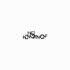 CN1CCN(c2ccc(CNc3ccc(F)cc3)cn2)CC1.Cl